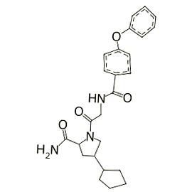 NC(=O)C1CC(C2CCCC2)CN1C(=O)CNC(=O)c1ccc(Oc2ccccc2)cc1